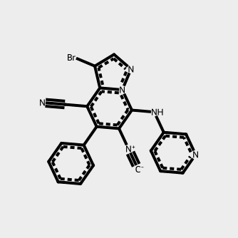 [C-]#[N+]c1c(-c2ccccc2)c(C#N)c2c(Br)cnn2c1Nc1cccnc1